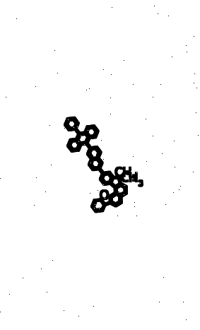 CC1(C)c2cc(-c3ccc4cc(-c5c6ccccc6c(-c6ccccc6)c6ccccc56)ccc4c3)ccc2-c2c1ccc1ccc3c(c21)OC1C=CC=CC31